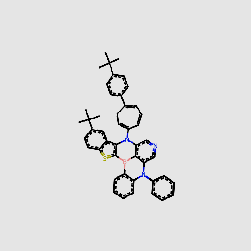 CC(C)(C)c1ccc(C2=CC=CC(N3c4cncc5c4B(c4ccccc4N5c4ccccc4)c4sc5ccc(C(C)(C)C)cc5c43)=CC2)cc1